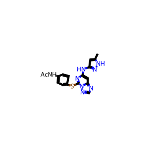 CC(=O)Nc1ccc(Sc2nc(Nc3cc(C)[nH]n3)cc3ncnn23)cc1